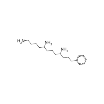 NCCCCC(N)CCCC(N)CCCc1ccccc1